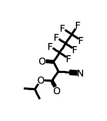 CC(C)OC(=O)C(C#N)C(=O)C(F)(F)C(F)(F)C(F)(F)F